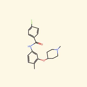 Cc1ccc(NC(=O)c2ccc(F)cc2)cc1OC1CCN(C)CC1